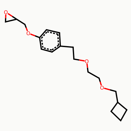 c1cc(OCC2CO2)ccc1CCOCCOCC1CCC1